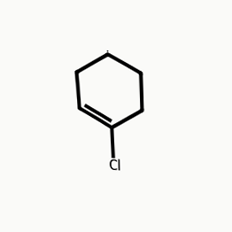 ClC1=CC[CH]CC1